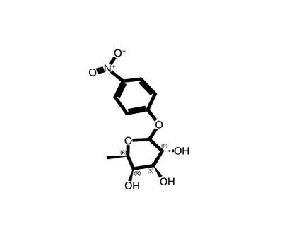 C[C@H]1OC(Oc2ccc([N+](=O)[O-])cc2)[C@H](O)[C@@H](O)[C@H]1O